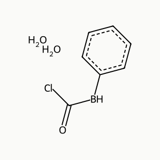 O.O.O=C(Cl)Bc1ccccc1